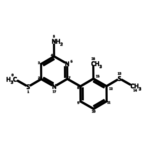 CSc1cc(N)nc(-c2cccc(SC)c2C)n1